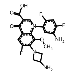 COc1c(N2CC(N)C2)c(F)cc2c(=O)c(C(=O)O)cn(-c3cc(N)c(F)cc3F)c12